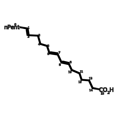 CCCCC/C=C/CCC/C=C/C=C/CCCCCC(=O)O